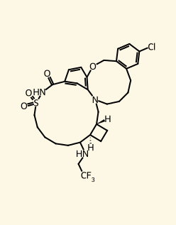 O=C1NS(=O)(=O)CCCCCC(NCC(F)(F)F)[C@@H]2CC[C@H]2CN2CCCCc3cc(Cl)ccc3COc3ccc1cc32